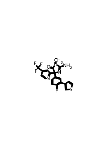 CN1C(=O)C(c2ccc(F)c(-c3ccsc3)c2)(c2cc(C(F)(F)F)ccn2)N=C1N